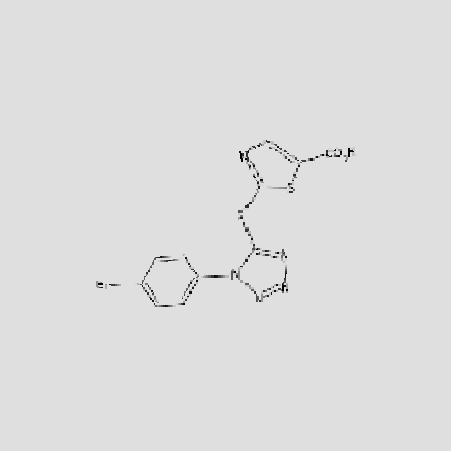 O=C(O)c1cnc(Sc2nnnn2-c2ccc(Br)cc2)s1